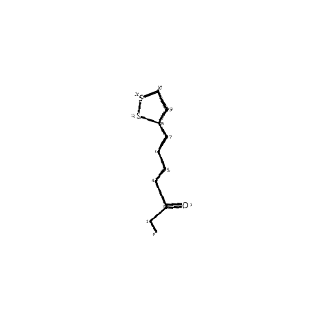 CCC(=O)CCCCC1CCSS1